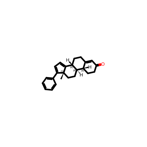 C[C@]12CC[C@@H]3[C@H]4CCC(=O)C=C4CC[C@H]3C1=CC=C2c1ccccc1